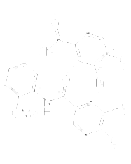 COc1ccccc1NC(=O)c1ccc(Cl)c(Br)c1.O=C(Cl)c1ccc(Cl)c(Br)c1